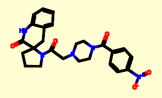 O=C(c1ccc([N+](=O)[O-])cc1)N1CCN(CC(=O)N2CCCC23Cc2ccccc2NC3=O)CC1